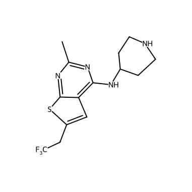 Cc1nc(NC2CCNCC2)c2cc(CC(F)(F)F)sc2n1